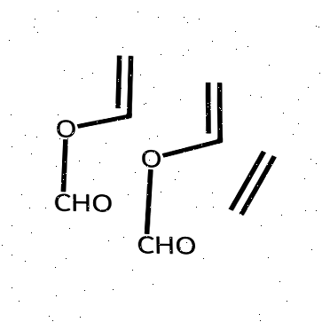 C=C.C=COC=O.C=COC=O